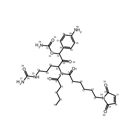 CCCCC(=O)N(C(=O)CCCCCN1C(=O)C=CC1=O)C(CCCNC(N)=O)C(=O)C(OC(N)=O)c1ccc(N)cc1